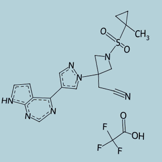 CC1(S(=O)(=O)N2CC(CC#N)(n3cc(-c4ncnc5[nH]ccc45)cn3)C2)CC1.O=C(O)C(F)(F)F